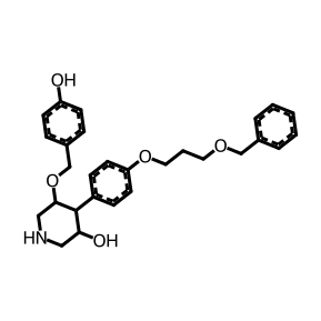 Oc1ccc(COC2CNCC(O)C2c2ccc(OCCCOCc3ccccc3)cc2)cc1